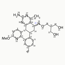 COc1cccc(-c2cc(F)ccc2C2C/C(=N\OCC(CO)CO)c3c(C)nc(N)nc3C2)n1